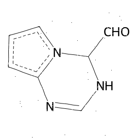 O=CC1NC=Nc2cccn21